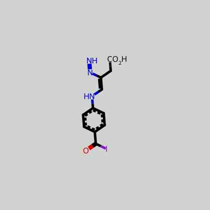 N=N/C(=C\Nc1ccc(C(=O)I)cc1)CC(=O)O